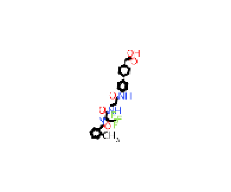 Cc1ccccc1-c1nc(C(=O)NCCC(=O)Nc2ccc([C@H]3CC[C@H](CC(=O)O)CC3)cc2)c(C(F)(F)F)o1